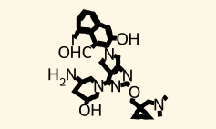 CN(C)CC1(COc2nc3c(c(N4CC(N)CC(O)C4)n2)CN(c2c(O)cc4cccc(I)c4c2C=O)C3)CC1